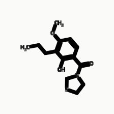 CCCc1c(OC)ccc(C(=O)N2CCSC2)c1O